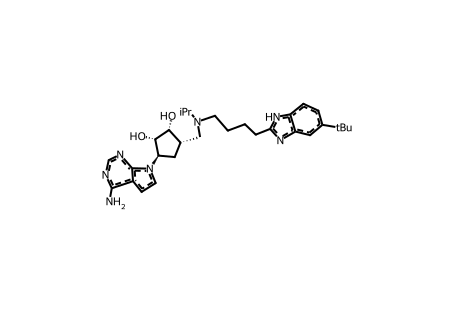 CC(C)N(CCCCc1nc2cc(C(C)(C)C)ccc2[nH]1)C[C@@H]1C[C@@H](n2ccc3c(N)ncnc32)[C@H](O)[C@@H]1O